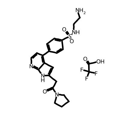 NCCNS(=O)(=O)c1ccc(-c2ccnc3[nH]c(CC(=O)N4CCCC4)cc23)cc1.O=C(O)C(F)(F)F